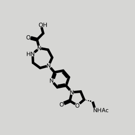 CC(=O)NC[C@H]1CN(c2ccc(N3CCNN(C(=O)CO)CC3)nc2)C(=O)O1